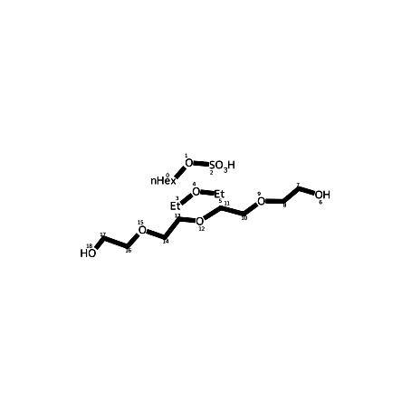 CCCCCCOS(=O)(=O)O.CCOCC.OCCOCCOCCOCCO